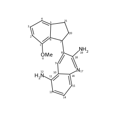 COc1cccc2c1C(c1cc3c(N)cccc3nc1N)CC2